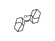 ClC12CC3CC(CC(C3)C1=C1C3CC4CC(C3)CC1C4)C2